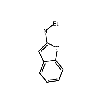 CC[N]c1cc2ccccc2o1